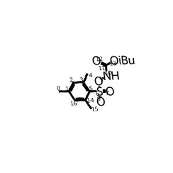 Cc1cc(C)c(S(=O)(=O)ONC(=O)OCC(C)C)c(C)c1